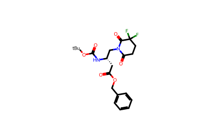 CC(C)(C)OC(=O)N[C@@H](CC(=O)OCc1ccccc1)CN1C(=O)CCC(F)(F)C1=O